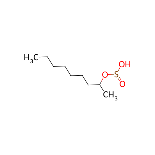 CCCCCCCC(C)OS(=O)O